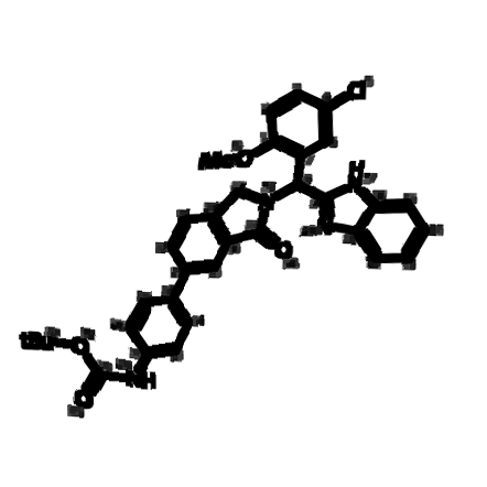 COc1ccc(Cl)cc1C(c1nc2ccccc2[nH]1)N1Cc2ccc(-c3ccc(NC(=O)OC(C)(C)C)cc3)cc2C1=O